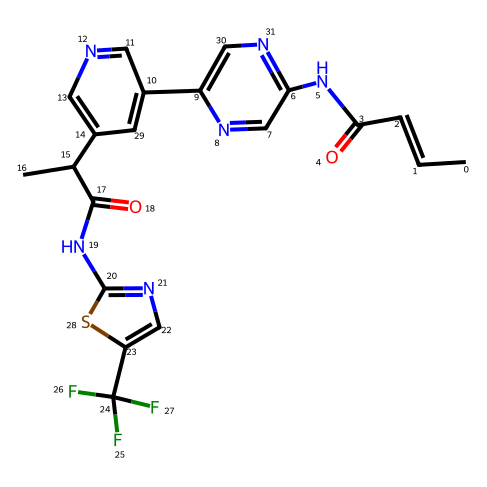 CC=CC(=O)Nc1cnc(-c2cncc(C(C)C(=O)Nc3ncc(C(F)(F)F)s3)c2)cn1